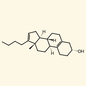 CCCCC1=CC[C@H]2[C@@H]3CCC4=C(CC[C@@H](O)C4)[C@H]3CC[C@]12C